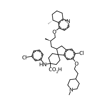 C[C@@H](COc1ccnc2c1[C@H](C)CCC2)CC1Cc2cc(Cl)c(OCCC3CCN(C)CC3)cc2C12CCC(Nc1cccc(Cl)c1)(C(=O)O)CC2